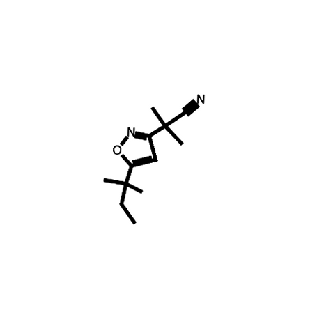 CCC(C)(C)c1cc(C(C)(C)C#N)no1